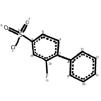 O=S(=O)(Cl)c1ccc(-c2ccccc2)c(F)c1